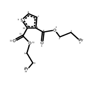 CC(C)CCOC(=O)c1ccsc1C(=O)OCCC(C)C